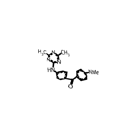 CNc1ccc(C(=O)c2ccc(Nc3nc(C)nc(C)n3)cc2)cc1